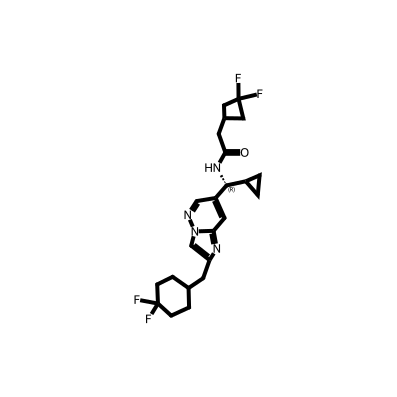 O=C(CC1CC(F)(F)C1)N[C@@H](c1cnn2cc(CC3CCC(F)(F)CC3)nc2c1)C1CC1